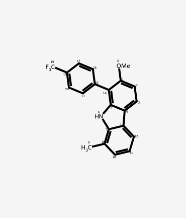 COc1ccc2c([nH]c3c(C)cccc32)c1-c1ccc(C(F)(F)F)cc1